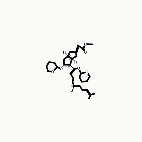 COC(=O)C=C1C[C@@H]2C[C@@H](OC3CCCCO3)[C@H](C(=CCC[C@H](C)CCC=C(C)C)OC3CCCCO3)[C@@H]2C1